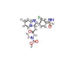 COC(=O)N1CCO[C@@H](Cc2c(-c3ccc(S(C)(=N)=O)cc3F)nc3cc(C)ccn23)C1